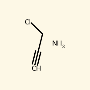 C#CCCl.N